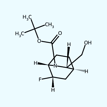 CC(C)(C)OC(=O)N1[C@H](CO)[C@H]2CC[C@H]1[C@@H](F)C2